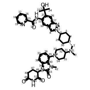 CN(C[C@H]1CC[C@H](n2cc3cc(NC(=O)c4ccccn4)c(C(C)(C)O)cc3n2)CC1)C1CCN(c2cccc3c2n(C)c(=O)n3C2CCC(=O)NC2=O)CC1